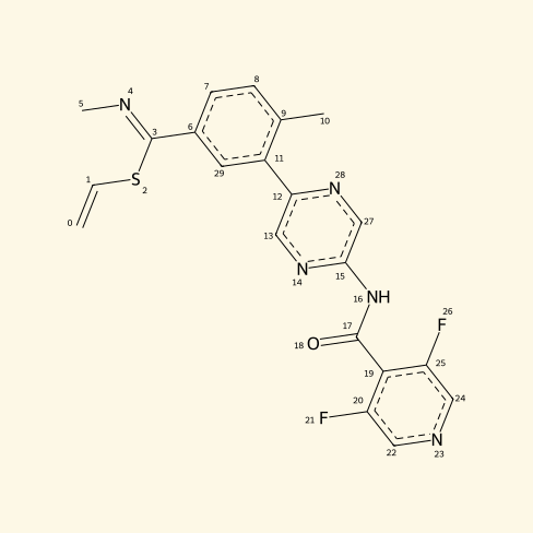 C=CS/C(=N\C)c1ccc(C)c(-c2cnc(NC(=O)c3c(F)cncc3F)cn2)c1